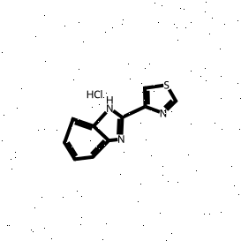 Cl.c1ccc2[nH]c(-c3cscn3)nc2c1